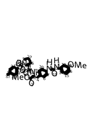 COC(=O)[C@H](Cc1ccc(NC(=O)Nc2cccc(OC)c2)cc1)NC(=O)[C@@H]1CCCN1S(=O)(=O)c1ccc(C)cc1